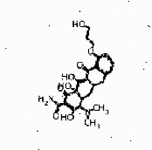 CN(C)C1C(O)=C(C(N)=O)C(=O)C2(O)C(O)=C3C(=O)c4c(cccc4OCCCO)CC3CC12